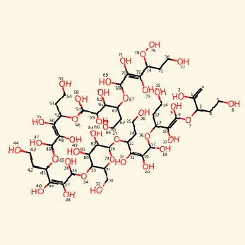 C=C(O)C(CCO)O/C(O)=C(\O)C(CCO)OC(O)/C(O)=C(/O)C(CCO)OC1OC(CO)C(OC(O)/C(O)=C(/O)C(CCO)OC(O)/C(O)=C(\O)C(CCO)OC(O)C(O)C(O)C(CCO)OC(O)/C(O)=C(\O)C(CCO)OO)C(O)C1O